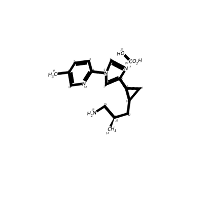 Cc1ccc(-n2cnc(C3CC3C[C@@H](C)CN)c2)nc1.O=C(O)O